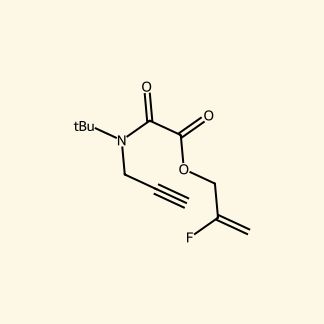 C#CCN(C(=O)C(=O)OCC(=C)F)C(C)(C)C